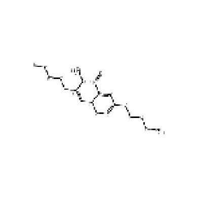 C=NC1=CC(CCCCN)=CCC1/C=C(\CN)CCCCC